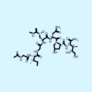 C=C(NC)[S+]([O-])C[C@H](NC(=O)CNC(=O)[C@@H](NC(=O)CNC(C)=O)[C@@H](C)CC)C(=O)N[C@@H](CC(N)=O)C(=O)N1CC(O)C[C@H]1C(=O)N[C@H](C(N)=O)[C@@H](C)[C@@H](O)CO